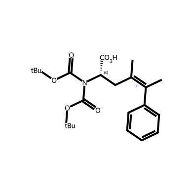 C/C(C[C@@H](C(=O)O)N(C(=O)OC(C)(C)C)C(=O)OC(C)(C)C)=C(\C)c1ccccc1